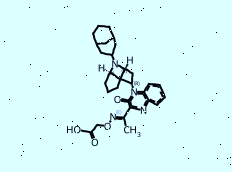 C/C(=N\OCC(=O)O)c1nc2ccccc2n([C@@H]2C[C@H]3N(C4CC5CCCC(C5)C4)[C@@H]4CCCC432)c1=O